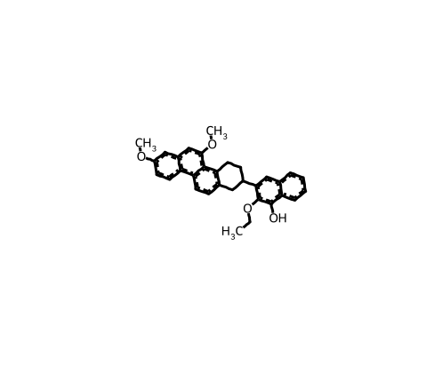 CCOc1c(C2CCc3c(ccc4c3c(OC)cc3cc(OC)ccc34)C2)cc2ccccc2c1O